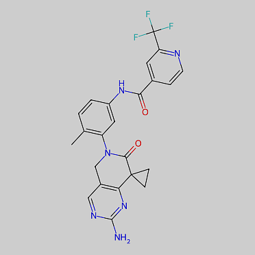 Cc1ccc(NC(=O)c2ccnc(C(F)(F)F)c2)cc1N1Cc2cnc(N)nc2C2(CC2)C1=O